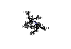 CC1(C)C(/C=C/C=C2/N(CCCS(=O)(=O)O)c3cc(C(=O)NCCS(=O)(=O)O)cc(C(=O)NCCS(=O)(=O)O)c3C2(C)C)=[N+](CCCS(=O)(=O)O)c2cc(C(=O)NCCS(=O)(=O)O)cc(C(=O)NCCS(=O)(=O)O)c21